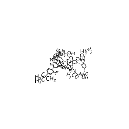 Cc1cc(-c2ccc(C(C)(C)C)cc2F)nc(N)c1C(=O)N[C@@H](CNS(N)(=O)=O)C(=O)N(C)[C@@H]1C(=O)N[C@@H](C)C(=O)N[C@H](C(=O)O)Cc2ccc(OC[C@H](O)CN)c(c2)-c2cc1cc(OC[C@H](O)CN)c2O